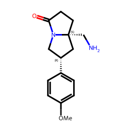 COc1ccc([C@@H]2CN3C(=O)CC[C@@]3(CN)C2)cc1